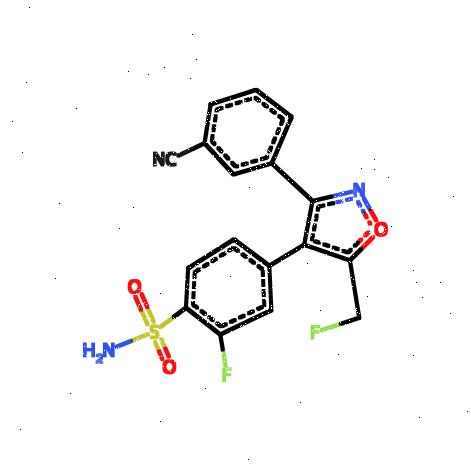 N#Cc1cccc(-c2noc(CF)c2-c2ccc(S(N)(=O)=O)c(F)c2)c1